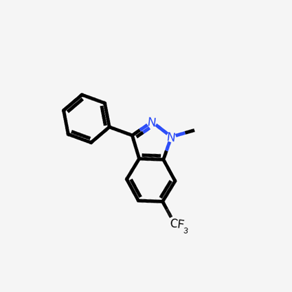 Cn1nc(-c2ccccc2)c2ccc(C(F)(F)F)cc21